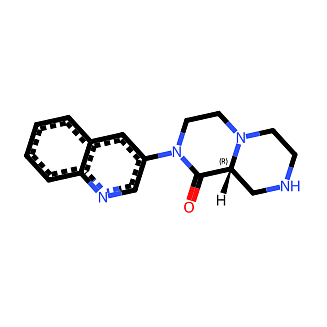 O=C1[C@H]2CNCCN2CCN1c1cnc2ccccc2c1